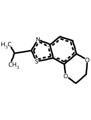 CC(C)c1nc2ccc3c(c2s1)OCCO3